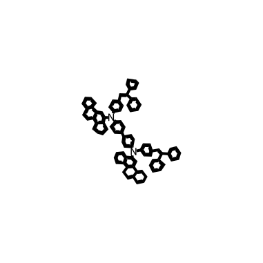 C1=CC2=CCc3c(cc(N(c4ccc(C=C(c5ccccc5)c5ccccc5)cc4)c4ccc(-c5ccc(N(c6ccc(C=C(c7ccccc7)c7ccccc7)cc6)c6cc7c8ccccc8ccc7c7ccccc67)cc5)cc4)c4ccccc34)C2=CC1